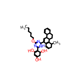 CCCCCCOC1=NC(C2=CC3C(CCC4C=CC=CC43)C3=C2C=CCC3C)NC(C2=C(O)C=C(O)CC2O)=N1